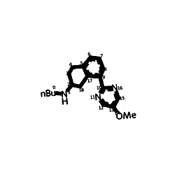 CCCCNC1CCc2cccc(-c3ncc(OC)cn3)c2C1